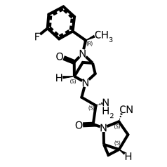 C[C@H](c1cccc(F)c1)N1C(=O)[C@@H]2CC1CN2C[C@H](N)C(=O)N1C2C[C@H]2C[C@H]1C#N